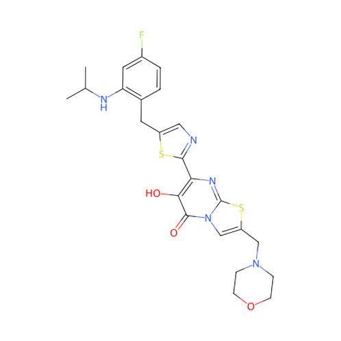 CC(C)Nc1cc(F)ccc1Cc1cnc(-c2nc3sc(CN4CCOCC4)cn3c(=O)c2O)s1